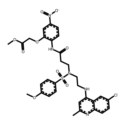 COC(=O)COc1cc([N+](=O)[O-])ccc1NC(=O)CCN(CCNc1cc(C)nc2ccc(Cl)cc12)S(=O)(=O)c1ccc(OC)cc1